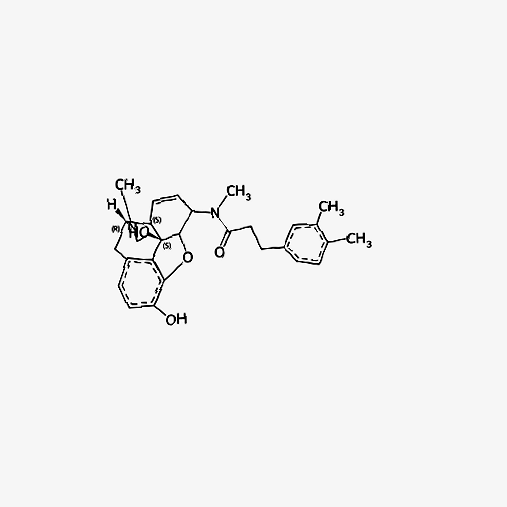 Cc1ccc(CCC(=O)N(C)C2C=C[C@@]3(O)[C@H]4Cc5ccc(O)c6c5[C@@]3(CCN4C)C2O6)cc1C